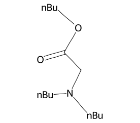 CCCCOC(=O)CN(CCCC)CCCC